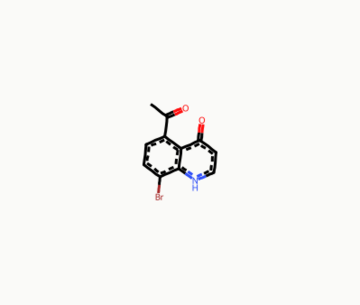 CC(=O)c1ccc(Br)c2[nH]ccc(=O)c12